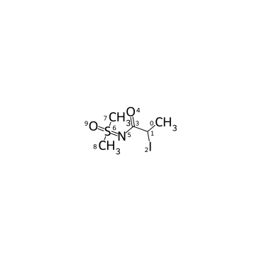 CC(I)C(=O)N=S(C)(C)=O